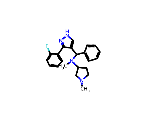 CN1CCC(N(C)C(c2ccccc2)c2c[nH]nc2-c2ccccc2F)C1